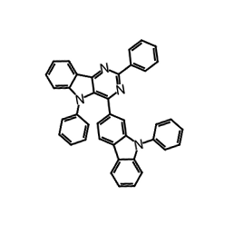 c1ccc(-c2nc(-c3ccc4c5ccccc5n(-c5ccccc5)c4c3)c3c(n2)c2ccccc2n3-c2ccccc2)cc1